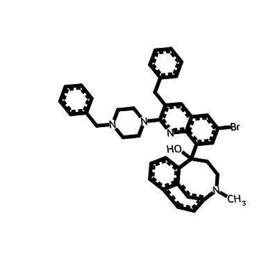 CN1CCC(O)(c2cc(Br)cc3cc(Cc4ccccc4)c(N4CCN(Cc5ccccc5)CC4)nc23)c2cccc3ccc1cc23